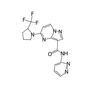 O=C(Nc1cccnn1)c1cnn2ccc(N3CCCC3C(F)(F)F)nc12